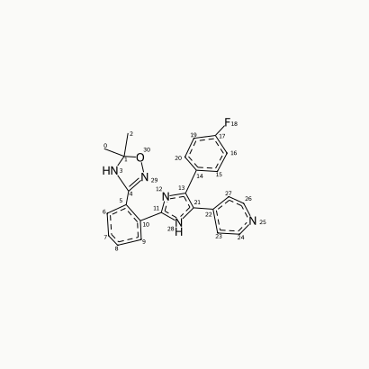 CC1(C)NC(c2ccccc2-c2nc(-c3ccc(F)cc3)c(-c3ccncc3)[nH]2)=NO1